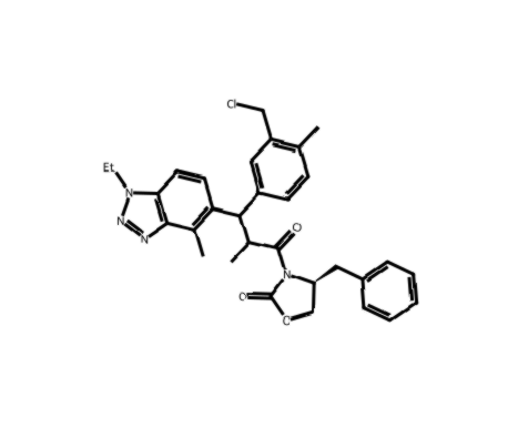 CCn1nnc2c(C)c(C(c3ccc(C)c(CCl)c3)C(C)C(=O)N3C(=O)OC[C@@H]3Cc3ccccc3)ccc21